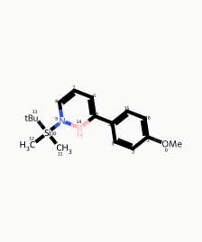 COc1ccc(C2=CC=CN([Si](C)(C)C(C)(C)C)B2)cc1